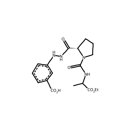 CCOC(=O)C(C)NC(=O)N1CCC[C@H]1C(=O)NNc1cccc(C(=O)O)c1